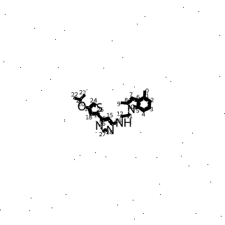 Cc1cccc2c1cc(C)n2CCNc1cc(-c2cc(OC(C)C)cs2)ncn1